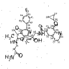 C[C@]1(C(=O)NCCC(N)=O)COc2c1cc([C@@](O)(CNC(=O)c1cc(OC3CC3)c3ncccc3c1)C(F)(F)F)nc2-c1ccc(F)cc1